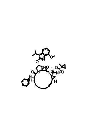 COc1cccc2c1nc(O[C@@H]1C[C@H]3C(=O)N[C@]4(C(=O)NS(=O)(=O)C5(C)CC5)C[C@H]4/C=C\CCCCC[C@H](Nc4ccccc4)C(=O)N3C1)n2C(C)C